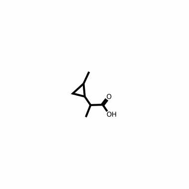 CC1CC1C(C)C(=O)O